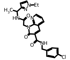 CCn1ccc(C(C)NC(=O)Cn2c(=O)c(C(=O)NCc3ccc(Cl)cc3)cc3cccnc32)n1